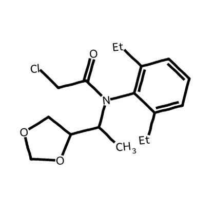 CCc1cccc(CC)c1N(C(=O)CCl)C(C)C1COCO1